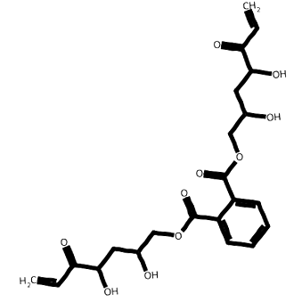 C=CC(=O)C(O)CC(O)COC(=O)c1ccccc1C(=O)OCC(O)CC(O)C(=O)C=C